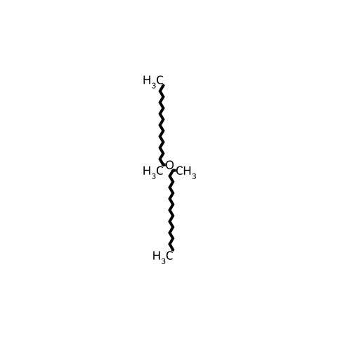 CCCCCCCCCCCCCCCC(C)OC(C)CCCCCCCCCCCCCCC